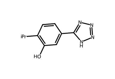 CC(C)c1ccc(-c2nnn[nH]2)cc1O